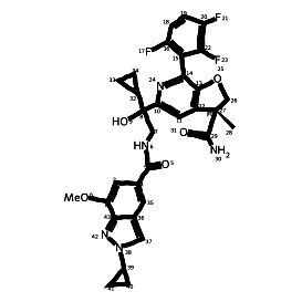 COc1cc(C(=O)NCC(O)(c2cc3c(c(-c4c(F)ccc(F)c4F)n2)OC[C@]3(C)C(N)=O)C2CC2)cc2cn(C3CC3)nc12